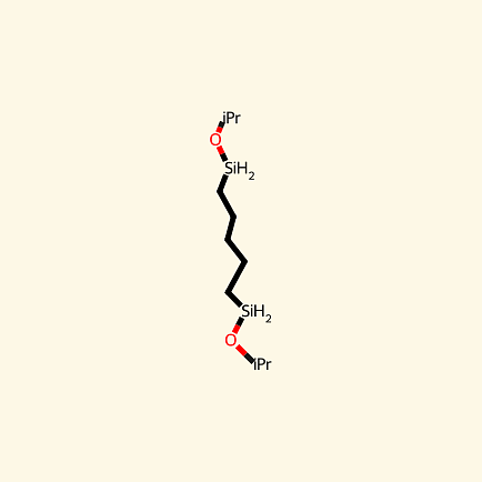 CC(C)O[SiH2]CCCCC[SiH2]OC(C)C